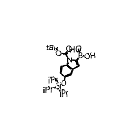 CC(C)[Si](Oc1ccc2c(c1)cc(B(O)O)n2C(=O)OC(C)(C)C)(C(C)C)C(C)C